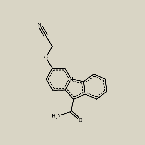 N#CCOc1ccc2c(C(N)=O)c3ccccc3n2c1